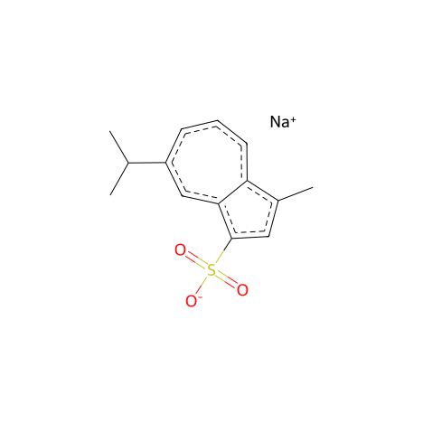 Cc1cc(S(=O)(=O)[O-])c2cc(C(C)C)cccc1-2.[Na+]